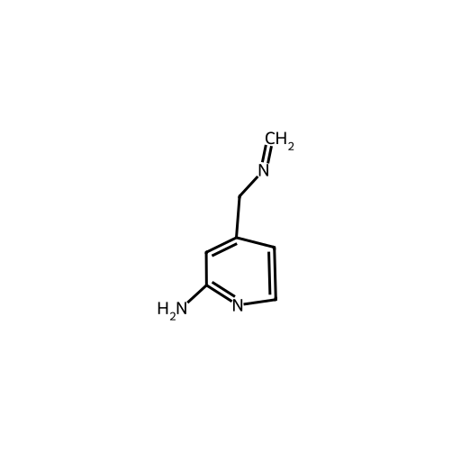 C=NCc1ccnc(N)c1